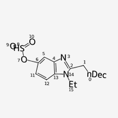 CCCCCCCCCCCc1nc2cc(O[SH](=O)=O)ccc2n1CC